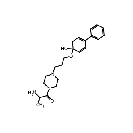 C[C@@H](N)C(=O)N1CCN(CCCOC2(C#N)C=CC(c3ccccc3)=CC2)CC1